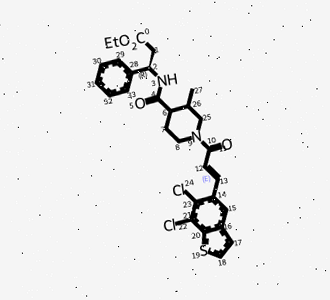 CCOC(=O)C[C@@H](NC(=O)C1CCN(C(=O)/C=C/c2cc3ccsc3c(Cl)c2Cl)CC1C)c1ccccc1